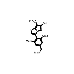 CCOC(=O)c1c(O)nn2c(-c3c(OC)cc(COC)cc3OC)csc12